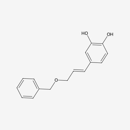 Oc1ccc(/C=C/COCc2ccccc2)cc1O